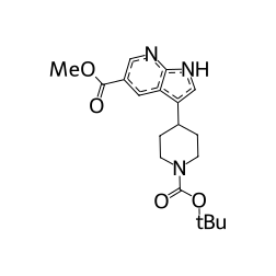 COC(=O)c1cnc2[nH]cc(C3CCN(C(=O)OC(C)(C)C)CC3)c2c1